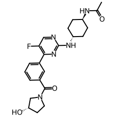 CC(=O)N[C@H]1CC[C@H](Nc2ncc(F)c(-c3cccc(C(=O)N4CC[C@H](O)C4)c3)n2)CC1